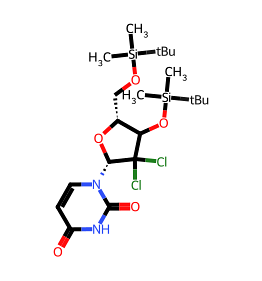 CC(C)(C)[Si](C)(C)OC[C@H]1O[C@@H](n2ccc(=O)[nH]c2=O)C(Cl)(Cl)C1O[Si](C)(C)C(C)(C)C